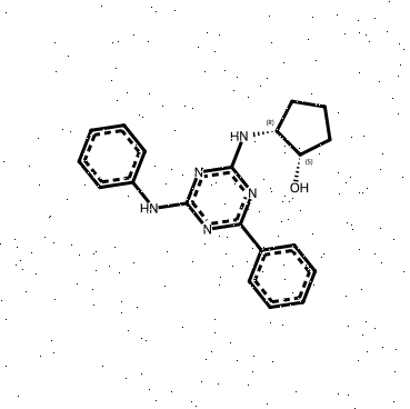 O[C@H]1CCC[C@H]1Nc1nc(Nc2ccccc2)nc(-c2ccccc2)n1